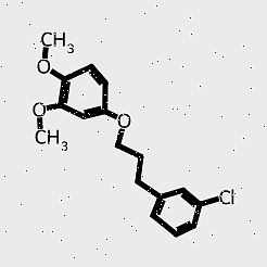 COc1ccc(OCCCc2cccc(Cl)c2)cc1OC